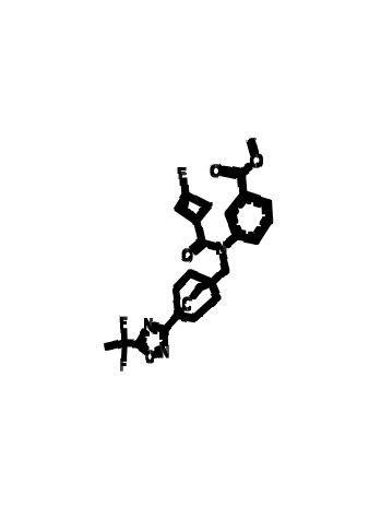 COC(=O)c1cccc(N(CC23CCC(c4noc(C(C)(F)F)n4)(CC2)CC3)C(=O)C23CC(F)(C2)C3)c1